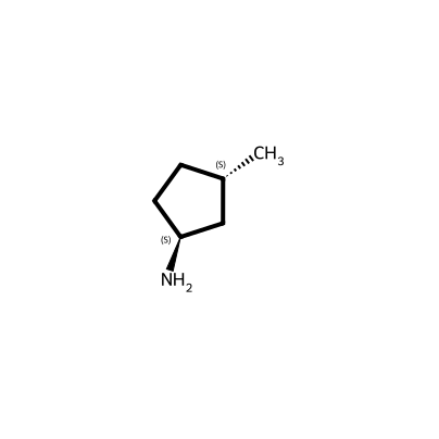 C[C@H]1CC[C@H](N)C1